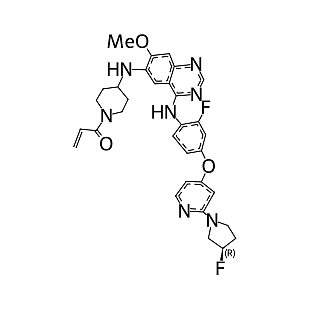 C=CC(=O)N1CCC(Nc2cc3c(Nc4ccc(Oc5ccnc(N6CC[C@@H](F)C6)c5)cc4F)ncnc3cc2OC)CC1